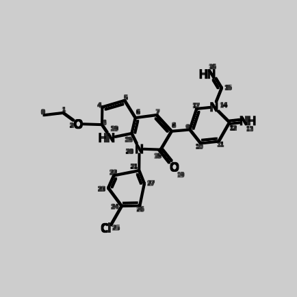 CCOC1C=Cc2cc(-c3ccc(=N)n(C=N)c3)c(=O)n(-c3ccc(Cl)cc3)c2N1